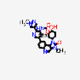 Cn1cc(-c2ncc(-c3ccc4ncc5c(c4c3)n(C3CCC(O)CC3)c(=O)n5C)cc2NC(=O)OC(C)(C)C)cn1